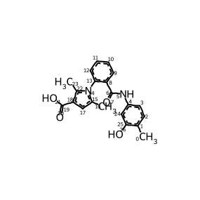 Cc1ccc(NC(=O)c2ccccc2-n2c(C)cc(C(=O)O)c2C)cc1O